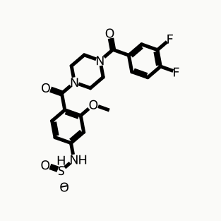 COc1cc(N[SH](=O)=O)ccc1C(=O)N1CCN(C(=O)c2ccc(F)c(F)c2)CC1